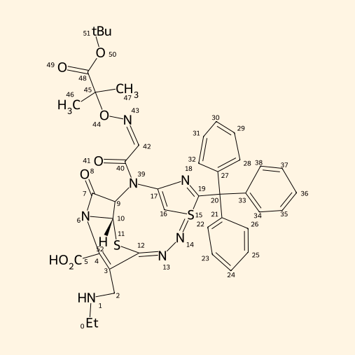 CCNCC1=C(C(=O)O)N2C(=O)C3[C@@H]2S/C1=N\N=S1/C=C(N=C1C(c1ccccc1)(c1ccccc1)c1ccccc1)N3C(=O)/C=N\OC(C)(C)C(=O)OC(C)(C)C